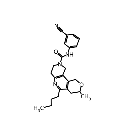 CCCCc1nc2c(c3c1CC(C)OC3)CN(C(=O)Nc1cccc(C#N)c1)CC2